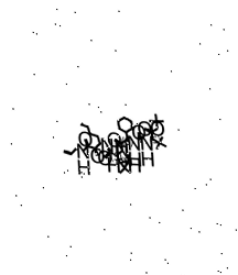 C=CCNC(=O)C(=O)C(CCCC)NC(=O)[C@@H]1[C@@H]2[C@H](CN1C(=O)[C@@H](NC(=O)N[C@H](C(=O)OC(C)(C)C)C(C)(C)C)C1CCCCC1)C2(C)C